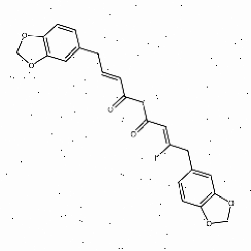 O=C(C=CCc1ccc2c(c1)OCO2)CC(=O)C=C(I)Cc1ccc2c(c1)OCO2